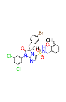 COc1ccccc1CNS(=O)(=O)c1cnc2n1[C@](C)(Cc1ccc(Br)cc1)C(=O)N2c1cc(Cl)cc(Cl)c1